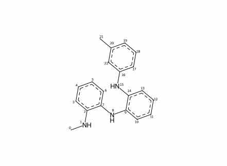 CNc1ccccc1Nc1ccccc1Nc1cccc(C)c1